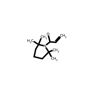 C=CC([O])N1C(C)(C)CCCC1(C)C